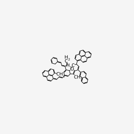 C=C/C(=C\C=C1\C=CC=CC1)C1=CC(/C=C/C=c2/ccc3cccc4ccc(C)c2c43)=CC2C(C)=C(/C(=C\C(C)c3ccc4ccc5cccc6ccc3c4c56)c3ccc4ccccc4c3)OC12